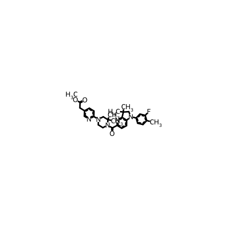 COC(=O)Cc1ccc(N2CCN(C(=O)c3ccc4c(n3)C(C)(C)CN4c3ccc(C)c(F)c3)C(C)(C)C2)nc1